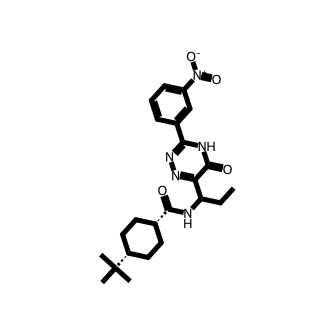 CCC(NC(=O)[C@H]1CC[C@@H](C(C)(C)C)CC1)c1nnc(-c2cccc([N+](=O)[O-])c2)[nH]c1=O